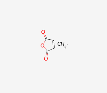 O=C1C=CC(=O)O1.[CH3]